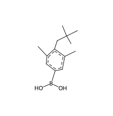 Cc1cc(B(O)O)cc(C)c1CC(C)(C)C